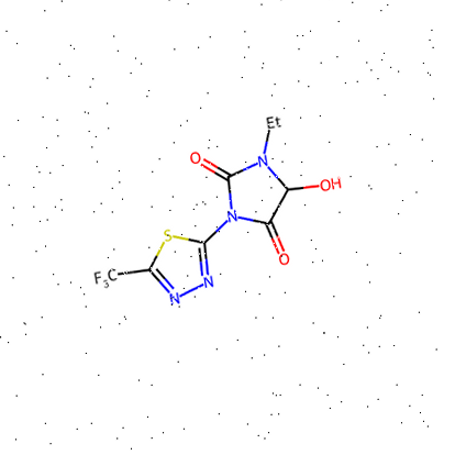 CCN1C(=O)N(c2nnc(C(F)(F)F)s2)C(=O)C1O